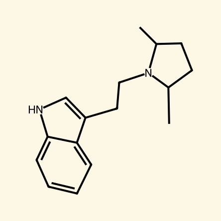 CC1CCC(C)N1CCc1c[nH]c2ccccc12